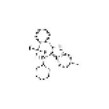 Cc1ccn2c(NC3CCCCC3)c(-c3ccccc3C(F)(F)F)nc2c1